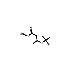 CCC(C)(C)OC(C)CC(=O)OC(C)(C)C